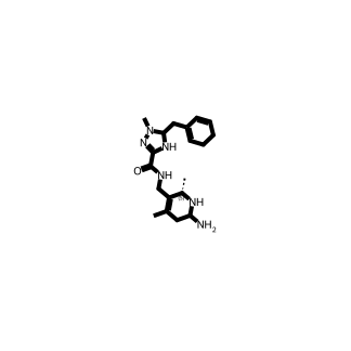 CC1=C(CNC(=O)C2=NN(C)C(CC3=CCCC=C3)N2)[C@H](C)NC(N)C1